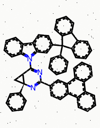 c1ccc(C2(c3ccc4c5ccccc5n(C5=NC(c6ccc7c8ccccc8c8ccccc8c7c6)=N[C@]6(c7ccccc7)CC56)c4c3)c3ccccc3-c3ccccc32)cc1